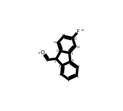 O=CC1c2ccccc2-c2cc(F)ccc21